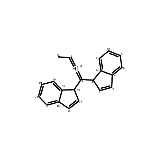 C[CH]=[Hf]=[C](C1C=Cc2ccccc21)C1C=Cc2ccccc21